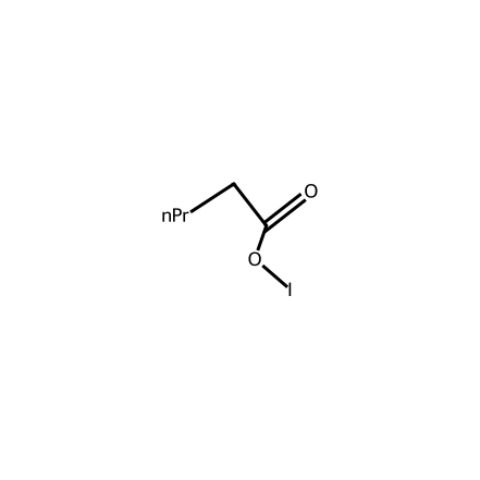 CCCCC(=O)OI